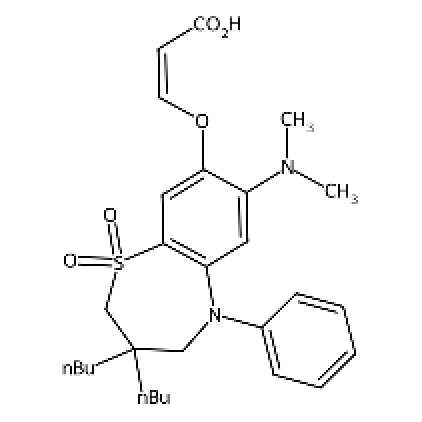 CCCCC1(CCCC)CN(c2ccccc2)c2cc(N(C)C)c(O/C=C\C(=O)O)cc2S(=O)(=O)C1